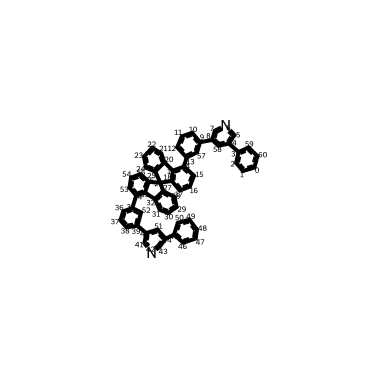 c1ccc(-c2cncc(-c3cccc(-c4cccc5c4-c4ccccc4C54c5ccccc5-c5c(-c6cccc(-c7cncc(-c8ccccc8)c7)c6)cccc54)c3)c2)cc1